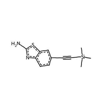 C[Si](C)(C)C#Cc1ccc2nc(N)sc2c1